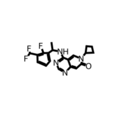 CC(Nc1ncnc2cc(=O)n(C3CCC3)cc12)c1cccc(C(F)F)c1F